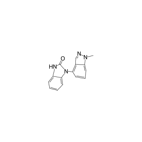 Cn1ncc2c(-n3c(=O)[nH]c4ccccc43)cccc21